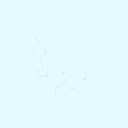 O=C(O)c1ccc(NS(=O)(=O)c2cnc(-c3ccc(F)cc3)s2)c(O)c1